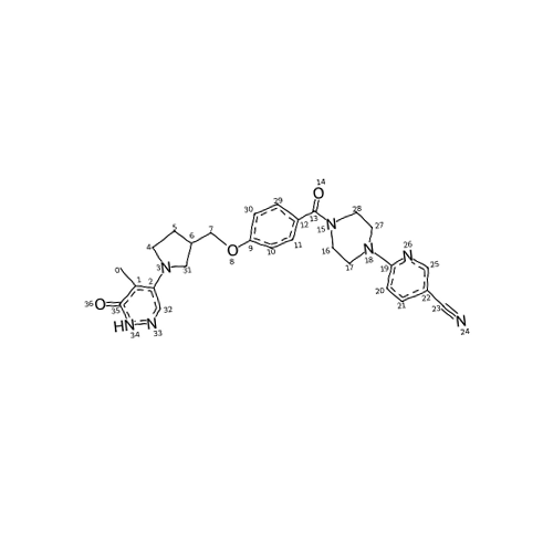 Cc1c(N2CCC(COc3ccc(C(=O)N4CCN(c5ccc(C#N)cn5)CC4)cc3)C2)cn[nH]c1=O